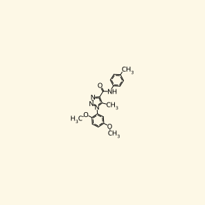 COc1ccc(OC)c(-n2nnc(C(=O)Nc3ccc(C)cc3)c2C)c1